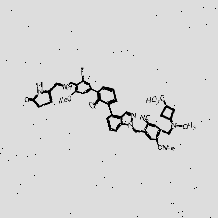 COc1cc(Cn2ncc3c(-c4cccc(-c5cc(F)c(CNCC6CCC(=O)N6)c(OC)c5)c4Cl)cccc32)c(C#N)cc1CN(C)C1CC(C(=O)O)C1